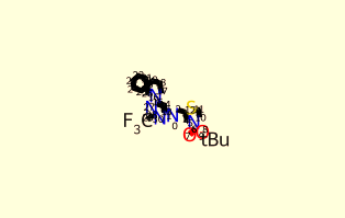 CN(CC1CN(C(=O)OC(C)(C)C)CCS1)c1cc(N2CCCC3(CCCCC3)C2)nc(C(F)(F)F)n1